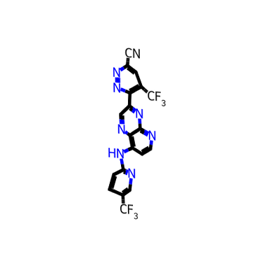 N#Cc1cc(C(F)(F)F)c(-c2cnc3c(Nc4ccc(C(F)(F)F)cn4)ccnc3n2)nn1